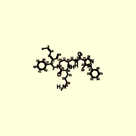 C=C/C(=C\C=C/C)C(CN1CC[C@@H](CNC(=O)c2cnn(-c3ccccc3)c2C)N[C@@H](CCCN)C1=O)c1ccccc1